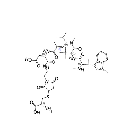 CN[C@H](C(=O)N[C@H](C(=O)N(C)[C@H](/C=C(\C)C(=O)N[C@H](CC(=O)O)C(=O)NCCN1C(=O)CC(SC[C@H](N)C(=O)O)C1=O)C(C)C)C(C)(C)C)C(C)(C)c1cn(C)c2ccccc12